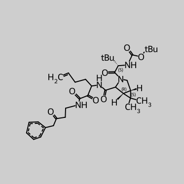 C=CCCC(NC(=O)C1[C@@H]2[C@H](CN1C(=O)[C@@H](NC(=O)OC(C)(C)C)C(C)(C)C)C2(C)C)C(=O)C(=O)NCCC(=O)Cc1ccccc1